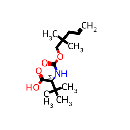 C=CCC(C)(C)COC(=O)N[C@H](C(=O)O)C(C)(C)C